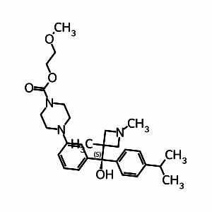 COCCOC(=O)N1CCN(c2cccc([C@@](O)(c3ccc(C(C)C)cc3)C3(C)CN(C)C3)c2)CC1